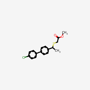 COC(=O)CSC(C)c1ccc(-c2ccc(Cl)cc2)cc1